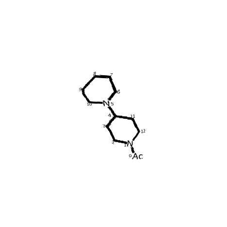 CC(=O)N1CCC(N2CCCCC2)CC1